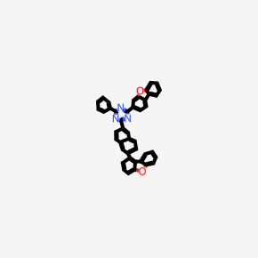 c1ccc(-c2nc(-c3ccc4cc(-c5cccc6oc7ccccc7c56)ccc4c3)nc(-c3ccc4c(c3)oc3ccccc34)n2)cc1